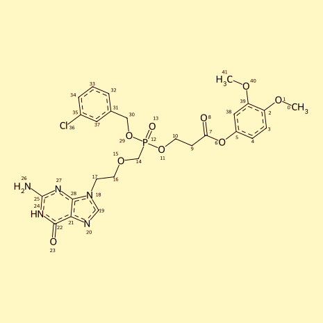 COc1ccc(OC(=O)CCOP(=O)(COCCn2cnc3c(=O)[nH]c(N)nc32)OCc2cccc(Cl)c2)cc1OC